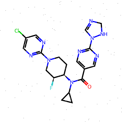 O=C(c1cnc(N2C=NCN2)nc1)N(C1CC1)[C@@H]1CCN(c2ncc(Cl)cn2)C[C@@H]1F